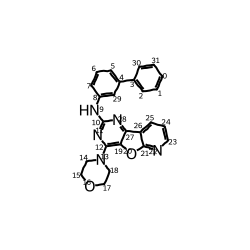 c1ccc(-c2cccc(Nc3nc(N4CCOCC4)c4oc5ncccc5c4n3)c2)cc1